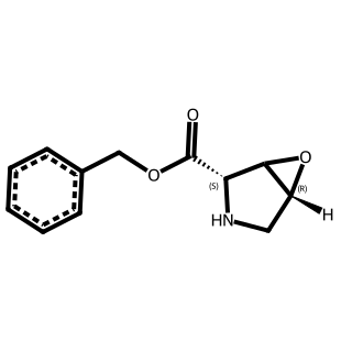 O=C(OCc1ccccc1)[C@H]1NC[C@H]2OC12